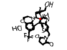 C[C@]1(CO)C[C@H](N2CCOc3cc(C(F)(F)F)cc(-c4ccnc5cc(CN6C(=O)CCC6=O)sc45)c32)CN1.Cl